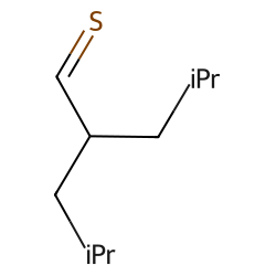 CC(C)CC(C=S)CC(C)C